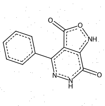 O=c1[nH]nc(-c2ccccc2)c2c(=O)o[nH]c12